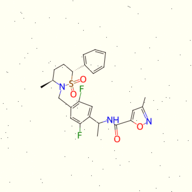 Cc1cc(C(=O)NC(C)c2cc(F)c(CN3[C@@H](C)CC[C@H](c4ccccc4)S3(=O)=O)cc2F)on1